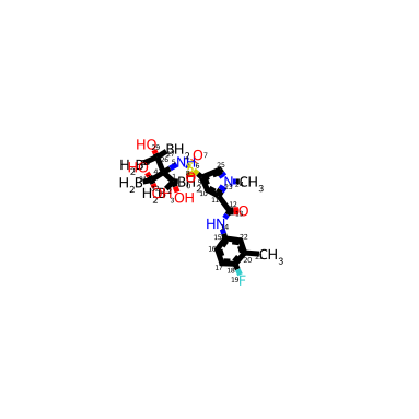 BC(B)(O)C(NS(=O)(=O)c1cc(C(=O)Nc2ccc(F)c(C)c2)n(C)c1)(C(B)(B)O)C(B)(O)O